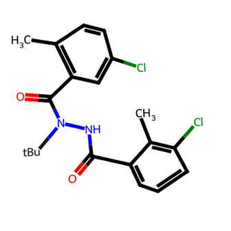 Cc1ccc(Cl)cc1C(=O)N(NC(=O)c1cccc(Cl)c1C)C(C)(C)C